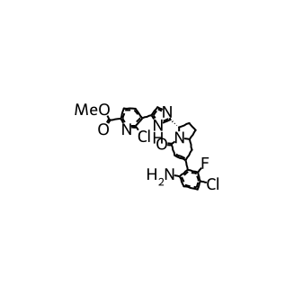 COC(=O)c1ccc(-c2cnc([C@@H]3CCC4CC(c5c(N)ccc(Cl)c5F)=CC(=O)N43)[nH]2)c(Cl)n1